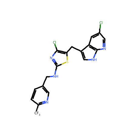 FC(F)(F)c1ccc(CNc2nc(Cl)c(Cc3c[nH]c4ncc(Cl)cc34)s2)cn1